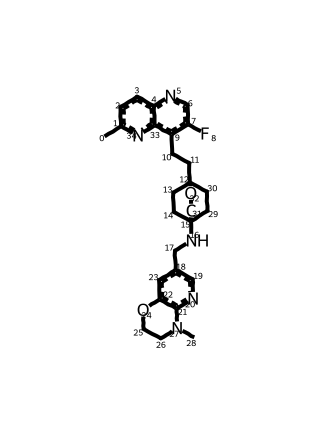 Cc1ccc2ncc(F)c(CCC34CCC(NCc5cnc6c(c5)OCCN6C)(CC3)CO4)c2n1